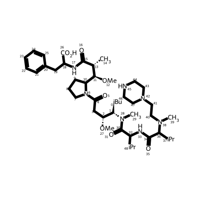 CC[C@H](C)[C@@H]([C@@H](CC(=O)N1CCCC1[C@H](OC)[C@@H](C)C(=O)NC(Cc1ccccc1)C(=O)O)OC)N(C)C(=O)C(NC(=O)C(C(C)C)N(C)CCN1CCNCC1)C(C)C